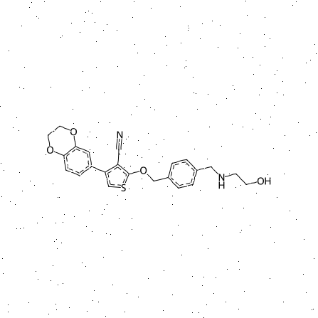 N#Cc1c(-c2ccc3c(c2)OCCO3)csc1OCc1ccc(CNCCO)cc1